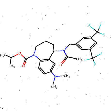 CC(=O)N(Cc1cc(C(F)(F)F)cc(C(F)(F)F)c1)C1CCCN(C(=O)OC(C)C)c2ccc(N(C)C)cc21